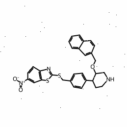 O=[N+]([O-])c1ccc2nc(SCc3ccc(C4CCNCC4OCc4ccc5ccccc5c4)cc3)sc2c1